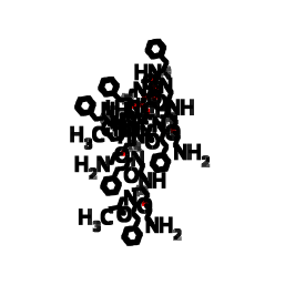 CCC(=O)CN(C[C@H](CCCCN)NC(=O)CN(C[C@H](CCCCN)NC(=O)CN(C[C@H](CCCCN)NC(=O)CN(C[C@H](Cc1ccccc1)NC(=O)CN(C[C@H](Cc1ccccc1)NC(=O)CN(C[C@@H](N)Cc1ccccc1)C(=O)CCC(C)C)C(=O)CCC(C)C)C(=O)CCC(C)C)C(=O)CCc1ccccc1)C(=O)CCc1ccccc1)C(=O)CCc1ccccc1